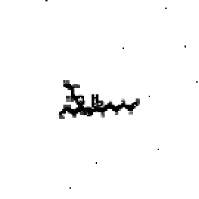 C=CCCCC[SiH2]OC(CCC)OCCC